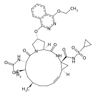 CCOc1nnc(O[C@@H]2C[C@H]3C(=O)N[C@]4(C(=O)NS(=O)(=O)C5CC5)C[C@H]4C=CCC[C@@H](C)C[C@@H](C)[C@H](NC(=O)O)C(=O)N3C2)c2ccccc12